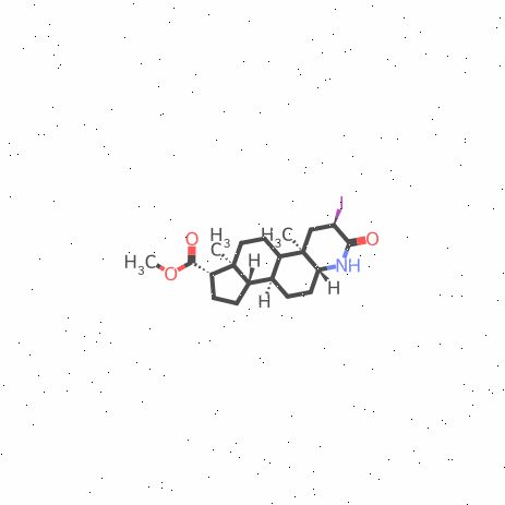 COC(=O)[C@H]1CC[C@H]2[C@@H]3CC[C@H]4NC(=O)[C@H](I)C[C@]4(C)C3CC[C@]12C